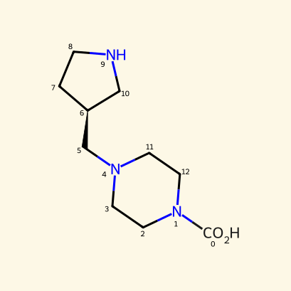 O=C(O)N1CCN(C[C@H]2CCNC2)CC1